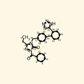 CCc1nn(C(=O)c2ccccc2)c(=O)n1Cc1ccc(-c2ccccc2-c2nnn[nH]2)cc1